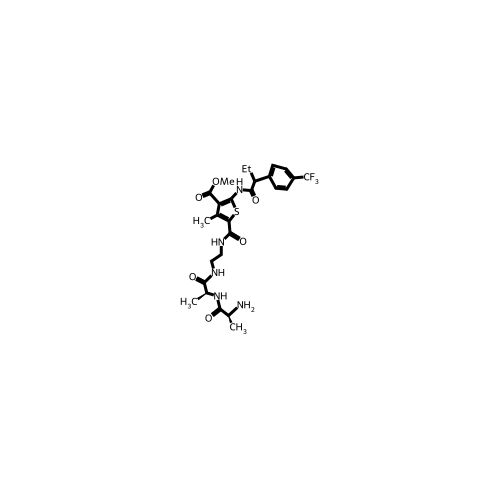 CCC(C(=O)Nc1sc(C(=O)NCCNC(=O)[C@H](C)NC(=O)[C@H](C)N)c(C)c1C(=O)OC)c1ccc(C(F)(F)F)cc1